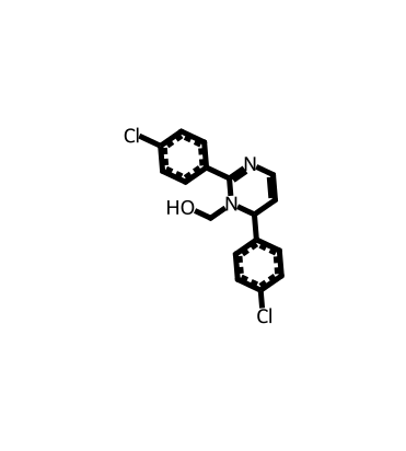 OCN1C(c2ccc(Cl)cc2)=NC=CC1c1ccc(Cl)cc1